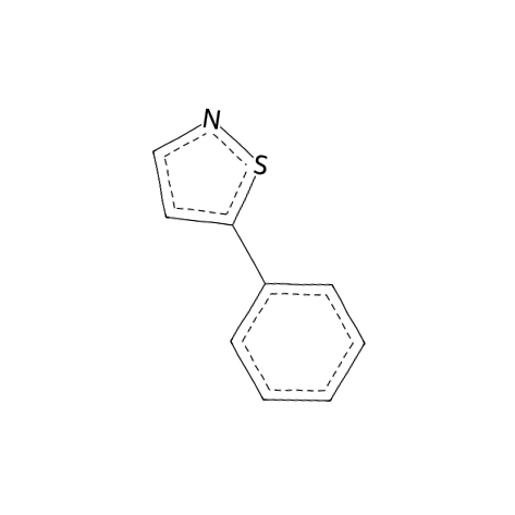 c1ccc(-c2ccns2)cc1